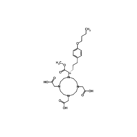 CCCCOc1ccc(CCC[C@@H](C(=O)OC)N2CCN(CC(=O)O)CCN(CC(=O)O)CCN(CC(=O)O)CC2)cc1